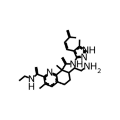 C=C(C)/C=C\c1c(NC(=C)C2(C)c3nc(C(=C)NCC)c(C)cc3CCC2CCN)n[nH]c1C